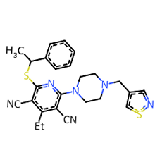 CCc1c(C#N)c(SC(C)c2ccccc2)nc(N2CCN(Cc3cnsc3)CC2)c1C#N